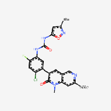 CNc1cc2c(cn1)cc(-c1cc(NC(=O)Nc3cc(C(C)(C)C)no3)c(F)cc1Cl)c(=O)n2C